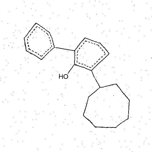 Oc1c(-c2ccccc2)cccc1C1CCCCCCC1